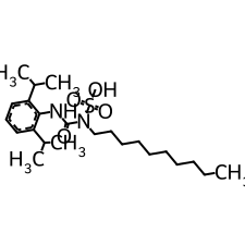 CCCCCCCCCCN(C(=O)Nc1c(C(C)C)cccc1C(C)C)S(=O)(=O)O